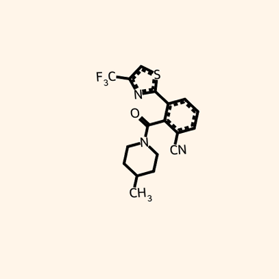 CC1CCN(C(=O)c2c(C#N)cccc2-c2nc(C(F)(F)F)cs2)CC1